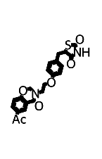 CC(=O)c1ccc2c(c1)C(=O)N(CCOc1ccc(CC3SC(=O)NC3=O)cc1)CO2